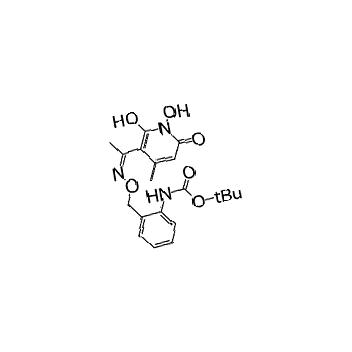 CC(=NOCc1ccccc1NC(=O)OC(C)(C)C)c1c(C)cc(=O)n(O)c1O